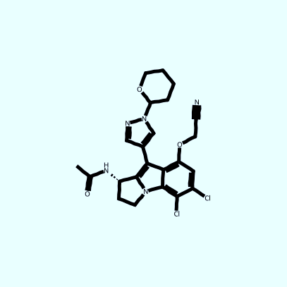 CC(=O)N[C@H]1CCn2c1c(-c1cnn(C3CCCCO3)c1)c1c(OCC#N)cc(Cl)c(Cl)c12